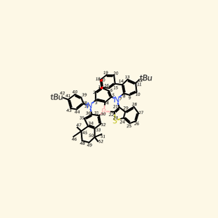 Cc1cc2c3c(c1)N(c1ccc(C(C)(C)C)cc1-c1ccccc1)c1c(sc4ccccc14)B3c1cc3c(cc1N2c1ccc(C(C)(C)C)cc1)C(C)(C)CCC3(C)C